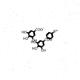 O=C([O-])c1cc(O)c(O)c(O)c1.O=C([O-])c1cc(O)c(O)c(O)c1.[B+2]c1ccccc1